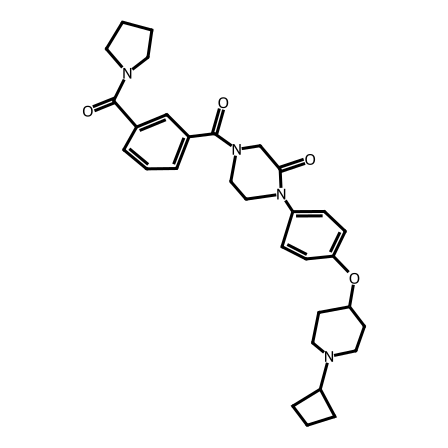 O=C(c1cccc(C(=O)N2CCN(c3ccc(OC4CCN(C5CCC5)CC4)cc3)C(=O)C2)c1)N1CCCC1